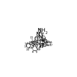 C=C[C@]1(CO[Si](c2ccccc2)(c2ccccc2)C(C)(C)C)O[C@@H](n2ccc(N)nc2=O)[C@@H]2OC3(CCCC3)O[C@@H]21